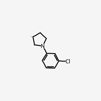 Clc1cccc(N2C[CH]CC2)c1